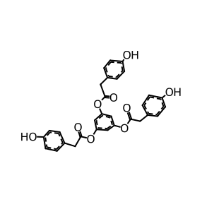 O=C(Cc1ccc(O)cc1)Oc1cc(OC(=O)Cc2ccc(O)cc2)cc(OC(=O)Cc2ccc(O)cc2)c1